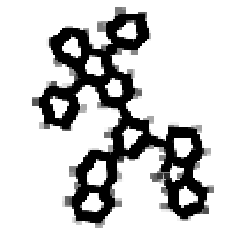 c1ccc(-c2c3ccccc3c(-c3ccccc3)c3cc(-c4cc(-c5ccc6ccccc6c5)cc(-c5cccc6c5oc5ccccc56)c4)ccc23)cc1